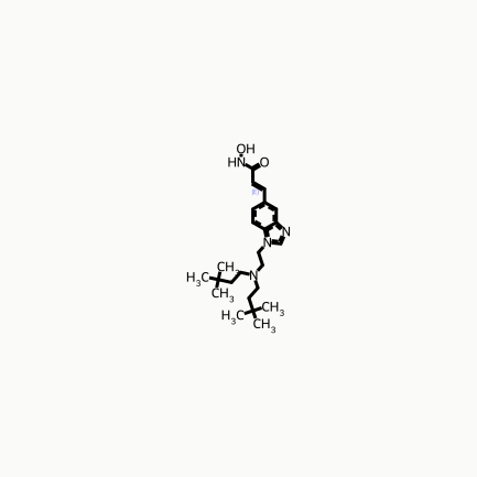 CC(C)(C)CCN(CCn1cnc2cc(/C=C/C(=O)NO)ccc21)CCC(C)(C)C